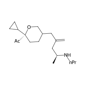 C=C(CC1CC[C@@](C(C)=O)(C2CC2)OC1)C[C@H](C)NCCC